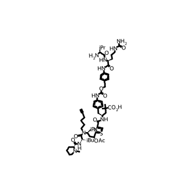 C#CCCCCN(C(=O)[C@@H](NC(=O)[C@H]1CCCCN1C)[C@@H](C)CC)[C@H](C[C@@H](OC(C)=O)c1nc(C(=O)N[C@@H](Cc2ccc(NC(=O)OCc3ccc(NC(=O)[C@H](CCCNC(N)=O)NC(=O)[C@@H](N)C(C)C)cc3)cc2)CC(C)(C)C(=O)O)cs1)C(C)C